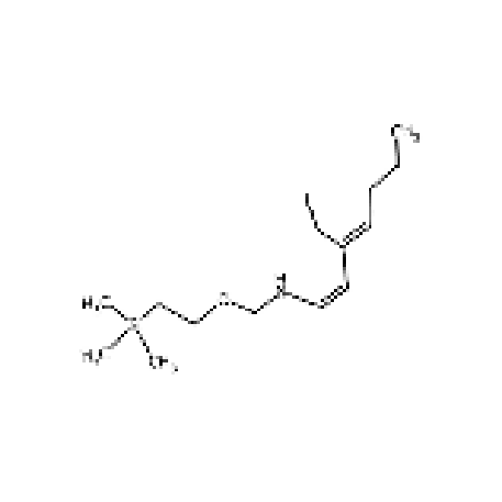 CCC/C=C(/C=C\NCOCC[Si](C)(C)C)CI